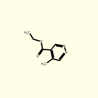 CCOC(=O)c1cnncc1C